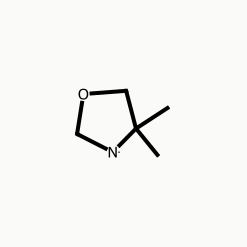 CC1(C)COC[N]1